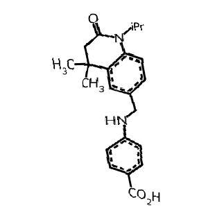 CC(C)N1C(=O)CC(C)(C)c2cc(CNc3ccc(C(=O)O)cc3)ccc21